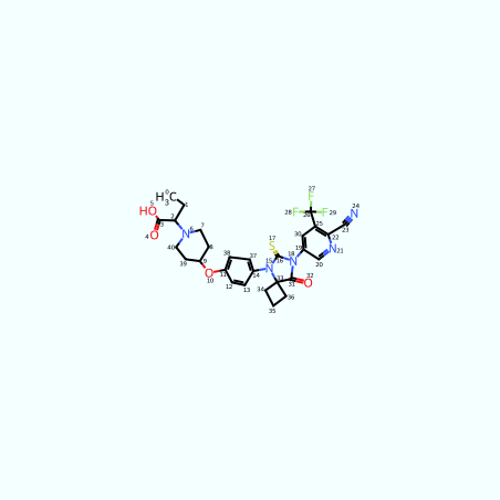 CCC(C(=O)O)N1CCC(Oc2ccc(N3C(=S)N(c4cnc(C#N)c(C(F)(F)F)c4)C(=O)C34CCC4)cc2)CC1